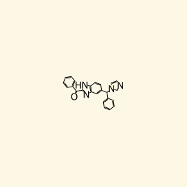 O=C(c1ccccc1)c1nc2cc(C(c3ccccc3)n3ccnc3)ccc2[nH]1